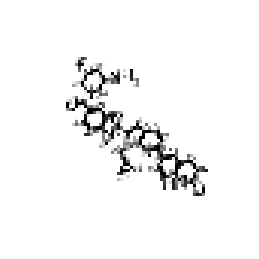 Cn1c(-c2cc3ccc(-c4ccc5c(c4)CCC(=O)N5)nc3n2CC2CC2)nc2cc(C(=O)N3C[C@H](N)C[C@@H](F)C3)ccc21